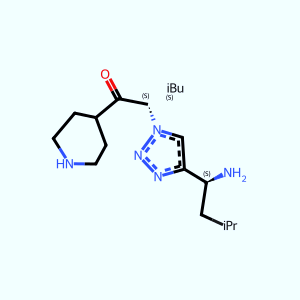 CC[C@H](C)[C@@H](C(=O)C1CCNCC1)n1cc([C@@H](N)CC(C)C)nn1